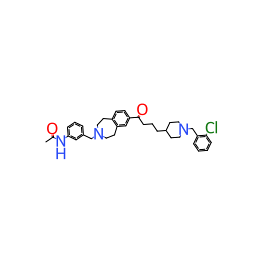 CC(=O)Nc1cccc(CN2CCc3ccc(C(=O)CCCC4CCN(Cc5ccccc5Cl)CC4)cc3CC2)c1